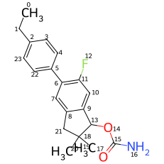 CCc1ccc(-c2cc3c(cc2F)C(OC(N)=O)C(C)(C)C3)cc1